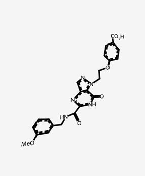 COc1cccc(CNC(=O)c2nc3cnn(CCOc4ccc(C(=O)O)cc4)c3c(=O)[nH]2)c1